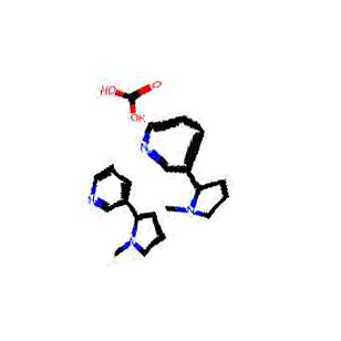 CN1CCCC1c1cccnc1.CN1CCCC1c1cccnc1.O=C(O)O